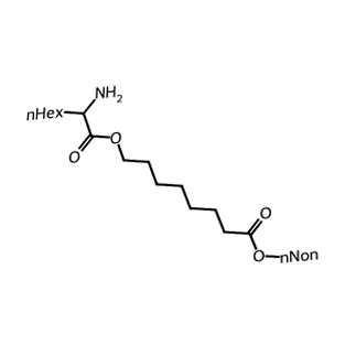 CCCCCCCCCOC(=O)CCCCCCCOC(=O)C(N)CCCCCC